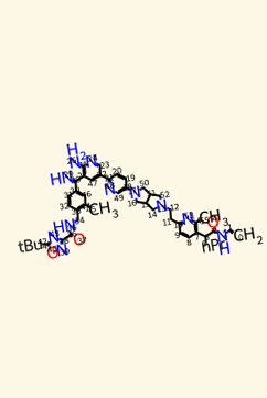 C=CNC(=O)C(CCC)c1ccc(CCN2CC3CN(c4ccc(-c5cnc(N)c(C(=N)c6ccc(CNC(=O)c7noc(C(C)(C)C)n7)c(C)c6)c5)nc4)CC3C2)nc1C